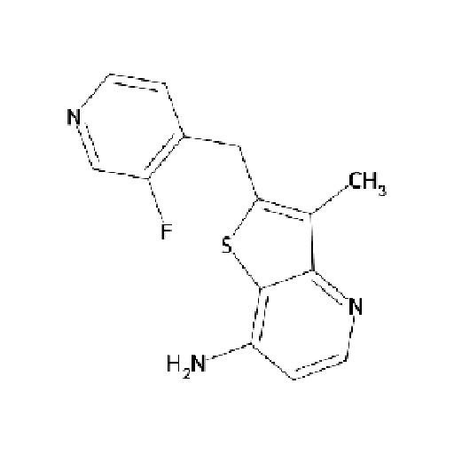 Cc1c(Cc2ccncc2F)sc2c(N)ccnc12